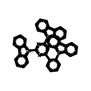 c1ccc(-n2c3ccccc3c3ccccc32)c(-c2cc(-n3c4ccccc4c4ccccc43)nc(-n3c4ccccc4c4ccccc43)n2)c1